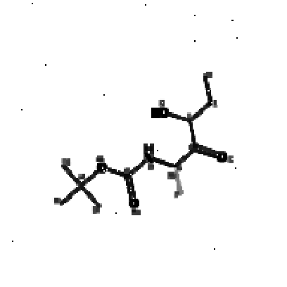 CCC(O)C(=O)[C@H](C)NC(=O)OC(C)(C)C